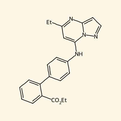 CCOC(=O)c1ccccc1-c1ccc(Nc2cc(CC)nc3ccnn23)cc1